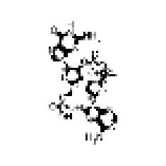 C[C@H](OP(=O)(O)OC1C[C@@H](COP(=O)(O)O)O[C@H]1n1cnc2c(=O)[nH]c(N)nc21)[C@H]1CC[C@H](n2cnc3c(N)ncnc32)O1